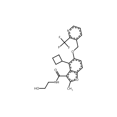 Cc1oc2ccc(OCc3cccnc3C(F)(F)F)c(C3CCC3)c2c1C(=O)NCCO